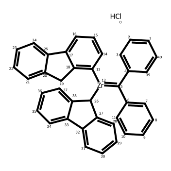 Cl.c1ccc([C](c2ccccc2)=[Zr]([c]2cccc3c2Cc2ccccc2-3)[CH]2c3ccccc3-c3ccccc32)cc1